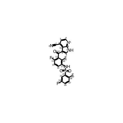 N#Cc1ccnc2[nH]cc(C(=O)c3c(F)ccc(NS(=O)(=O)c4cc(F)ccc4F)c3F)c12